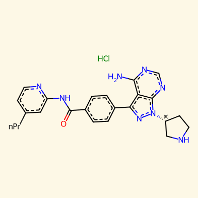 CCCc1ccnc(NC(=O)c2ccc(-c3nn([C@@H]4CCNC4)c4ncnc(N)c34)cc2)c1.Cl